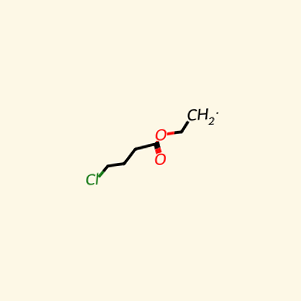 [CH2]COC(=O)CCCCl